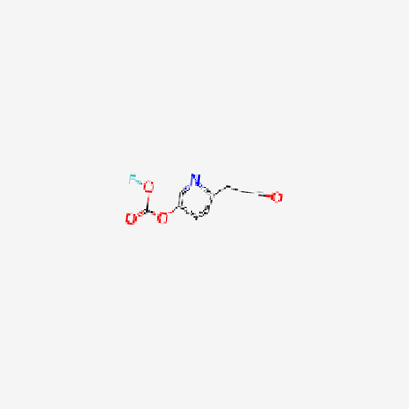 O=CCCc1ccc(OC(=O)OF)cn1